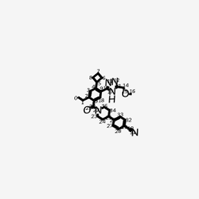 CCc1cc(C2CCC2)c(-c2nnc(COC)[nH]2)cc1C(=O)N1CCC(c2ccc(C#N)cc2)CC1